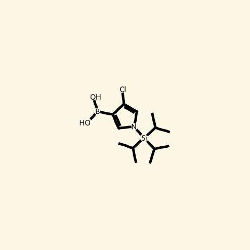 CC(C)[Si](C(C)C)(C(C)C)n1cc(Cl)c(B(O)O)c1